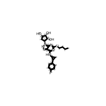 CCCCSc1nc(NC2CC2c2ccc(F)cc2)c2nnn([C@H]3C[C@@H](O)[C@H](O)[C@@H]3O)c2n1